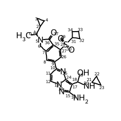 C[C@@H](C1CC1)N1Cc2cc(-c3ccn4nc(N)c(C(O)NC5CC5)c4n3)cc(S(=O)(=O)C3CCC3)c2C1=O